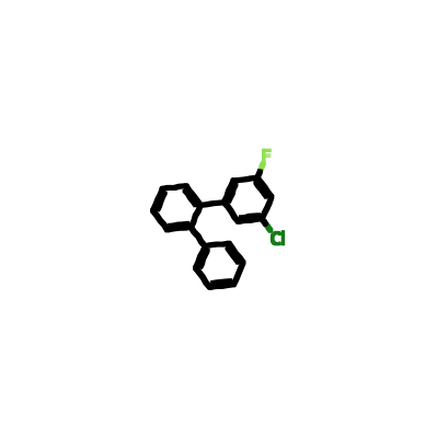 Fc1cc(Cl)cc(-c2ccccc2-c2ccccc2)c1